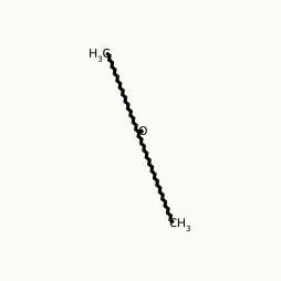 CCCCCCCCCCCCCCCCCCCCCCCCCCC(=O)CCCCCCCCCCCCCCCCCCCCCCC